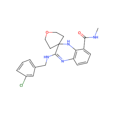 CNC(=O)c1cccc2c1NC1(CCOCC1)C(NCc1cccc(Cl)c1)=N2